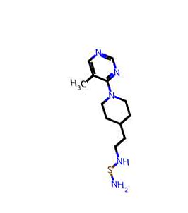 Cc1cncnc1N1CCC(CCNSN)CC1